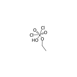 CC[O][V](=[O])(=[O])([OH])([Cl])[Cl]